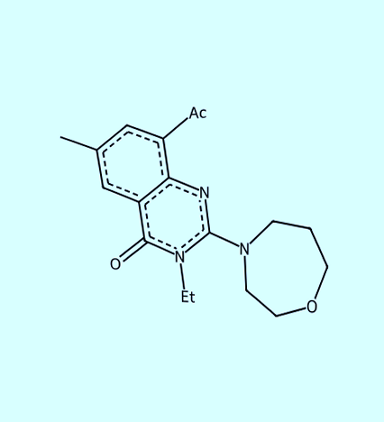 CCn1c(N2CCCOCC2)nc2c(C(C)=O)cc(C)cc2c1=O